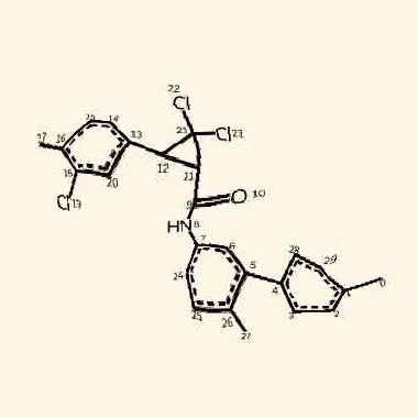 Cc1ccc(-c2cc(NC(=O)C3C(c4ccc(C)c(Cl)c4)C3(Cl)Cl)ccc2C)cc1